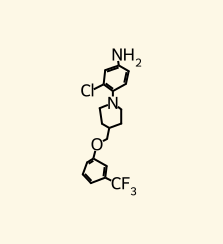 Nc1ccc(N2CCC(COc3cccc(C(F)(F)F)c3)CC2)c(Cl)c1